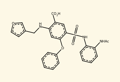 CC(=O)Nc1ccccc1NS(=O)(=O)c1cc(C(=O)O)c(NCc2ccoc2)cc1Oc1ccccc1